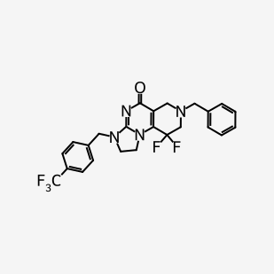 O=c1nc2n(c3c1CN(Cc1ccccc1)CC3(F)F)CCN2Cc1ccc(C(F)(F)F)cc1